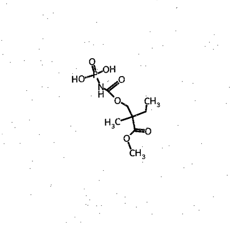 CCC(C)(COC(=O)NP(=O)(O)O)C(=O)OC